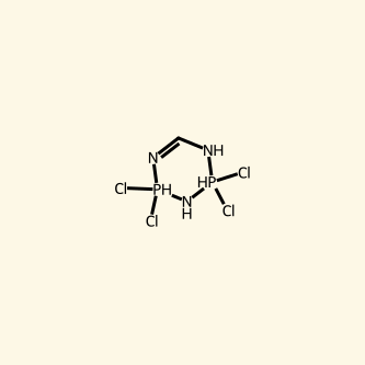 Cl[PH]1(Cl)N=CN[PH](Cl)(Cl)N1